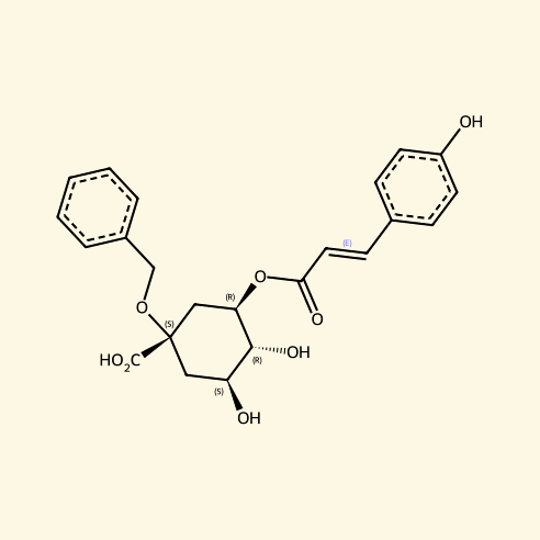 O=C(/C=C/c1ccc(O)cc1)O[C@@H]1C[C@](OCc2ccccc2)(C(=O)O)C[C@H](O)[C@H]1O